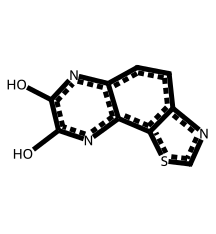 Oc1nc2ccc3ncsc3c2nc1O